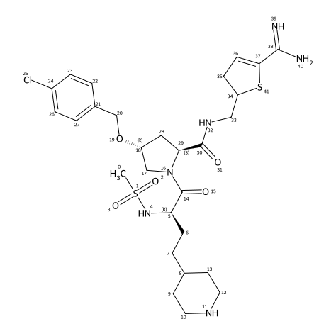 CS(=O)(=O)N[C@H](CCC1CCNCC1)C(=O)N1C[C@H](OCc2ccc(Cl)cc2)C[C@H]1C(=O)NCC1CC=C(C(=N)N)S1